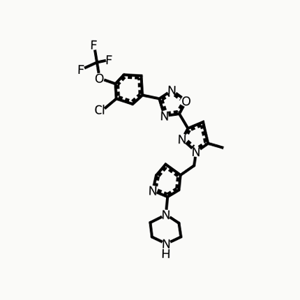 Cc1cc(-c2nc(-c3ccc(OC(F)(F)F)c(Cl)c3)no2)nn1Cc1ccnc(N2CCNCC2)c1